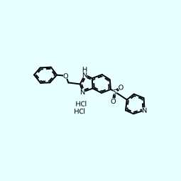 Cl.Cl.O=S(=O)(c1ccncc1)c1ccc2[nH]c(COc3ccccc3)nc2c1